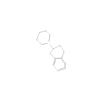 c1ccc2c(c1)CCC(N1CCCCC1)C2